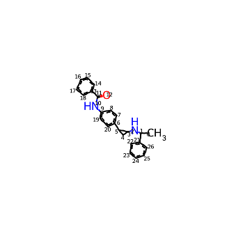 CC(NC1CC1c1ccc(NC(=O)c2ccccc2)cc1)c1ccccc1